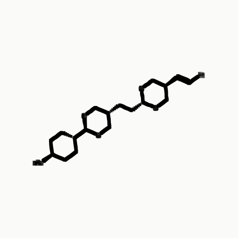 CCC=C[C@H]1CO[C@H](CC[C@H]2CO[C@H]([C@H]3CC[C@H](CCCC)CC3)OC2)OC1